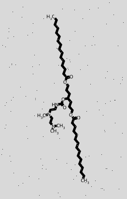 CCCCCCCCCCCCCCCC(=O)OCCCC(CCCOC(=O)CCCCCCCCCCCCCCC)OC(=O)NCCN(C)CCN(C)C